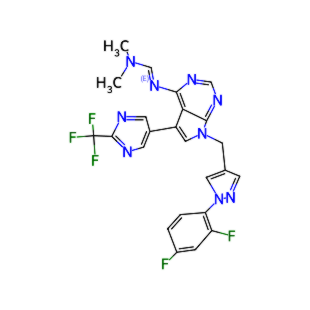 CN(C)/C=N/c1ncnc2c1c(-c1cnc(C(F)(F)F)nc1)cn2Cc1cnn(-c2ccc(F)cc2F)c1